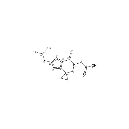 O=C(O)CN1CC2(CC2)c2cc(CC(F)F)sc2C1=O